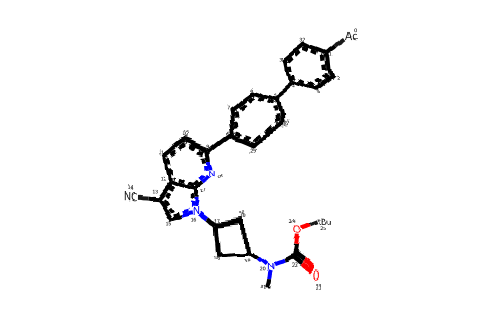 CC(=O)c1ccc(-c2ccc(-c3ccc4c(C#N)cn(C5CC(N(C)C(=O)OC(C)(C)C)C5)c4n3)cc2)cc1